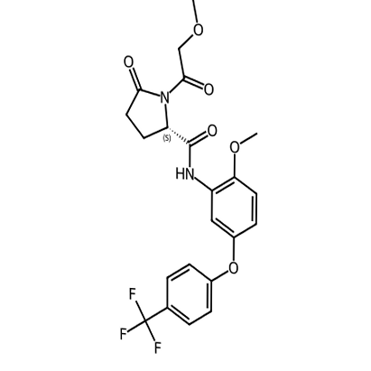 COCC(=O)N1C(=O)CC[C@H]1C(=O)Nc1cc(Oc2ccc(C(F)(F)F)cc2)ccc1OC